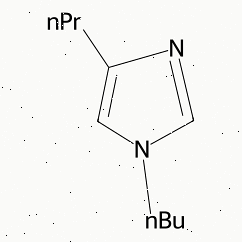 [CH2]CCc1cn(CCCC)cn1